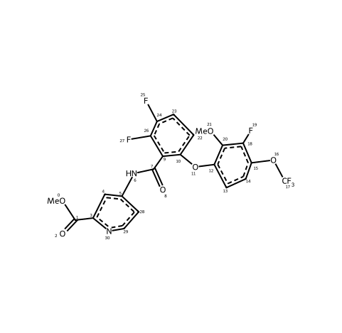 COC(=O)c1cc(NC(=O)c2c(Oc3ccc(OC(F)(F)F)c(F)c3OC)ccc(F)c2F)ccn1